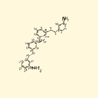 Nc1cccc(CCc2cccc([SiH2]c3cccc(CCc4cccc(N)c4)c3)c2)c1